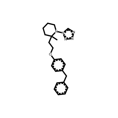 CC1(CCOc2ccc(Cc3ccccc3)cc2)CCCCN1n1cnnn1